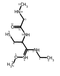 CCNC(=[SH]OC)C(CS)NC(=O)CNC